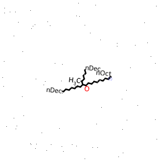 CCCCCCCC/C=C\CCCCCCCC(=O)C(C[CH]CCCCCCCCCCCCCCC)C(C)CCCCCCCCCCCCCC